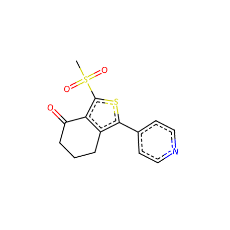 CS(=O)(=O)c1sc(-c2ccncc2)c2c1C(=O)CCC2